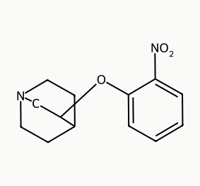 O=[N+]([O-])c1ccccc1OC1CN2CCC1CC2